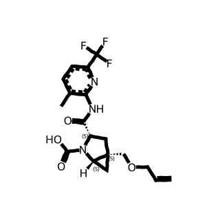 C=CCOC[C@]12C[C@@H]1N(C(=O)O)[C@H](C(=O)Nc1nc(C(F)(F)F)ccc1C)C2